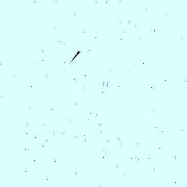 O=C1N2C(CO[C@@H]2c2ccccc2)C[C@]12C(Br)(Br)C21CCC1